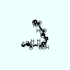 Cc1ncccc1C(=O)NCCCNC(=O)c1cc(-c2ccc(Cc3ccc(C(=O)NCCCNC(=O)c4cc(-c5cccs5)on4)c(O)n3)s2)on1